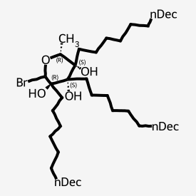 CCCCCCCCCCCCCCCC[C@@]1(O)[C@](O)(CCCCCCCCCCCCCCCC)C(Br)O[C@H](C)[C@@]1(O)CCCCCCCCCCCCCCCC